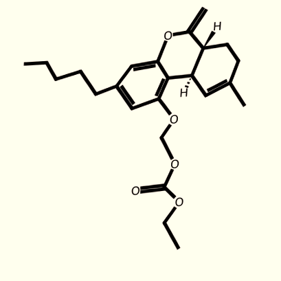 C=C1Oc2cc(CCCCC)cc(OCOC(=O)OCC)c2[C@@H]2C=C(C)CC[C@@H]12